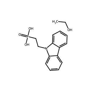 CCO.O=P(O)(O)CCn1c2ccccc2c2ccccc21